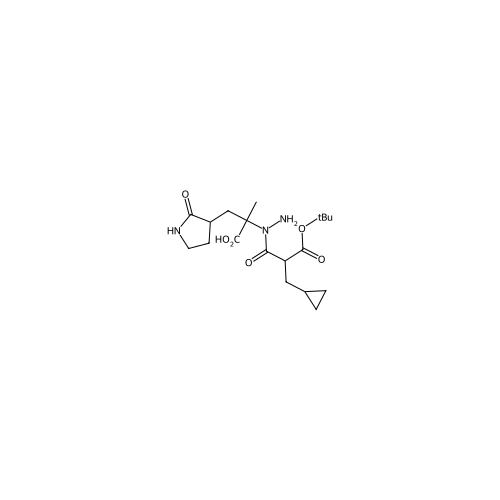 CC(C)(C)OC(=O)C(CC1CC1)C(=O)N(N)C(C)(CC1CCNC1=O)C(=O)O